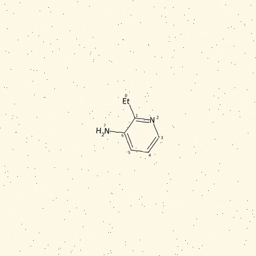 CCc1ncccc1N